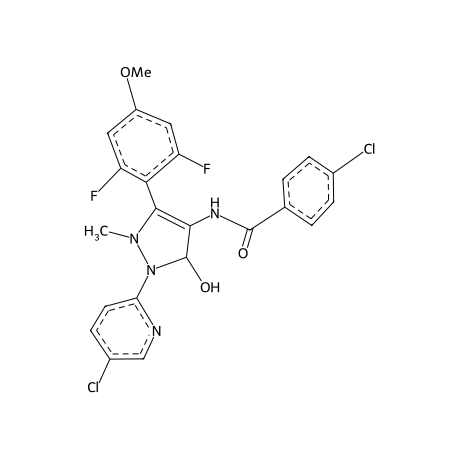 COc1cc(F)c(C2=C(NC(=O)c3ccc(Cl)cc3)C(O)N(c3ccc(Cl)cn3)N2C)c(F)c1